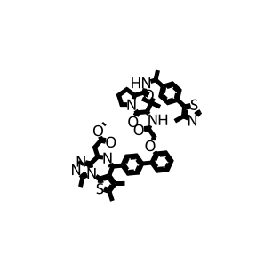 COC(=O)CC1N=C(c2ccc(-c3ccccc3OCC(=O)NC(C(=O)N3CCCC3C(=O)NC(C)c3ccc(-c4scnc4C)cc3)C(C)(C)C)cc2)c2c(sc(C)c2C)-n2c(C)nnc21